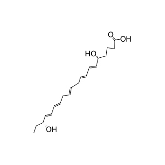 CC[C@@H](O)/C=C/C=C/C/C=C/C/C=C/C=C/[C@@H](O)CCCC(=O)O